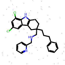 Clc1cc(Cl)c2[nH]c3c(c2c1)CC(CCCc1ccccc1)(CNCc1ccccn1)CC3